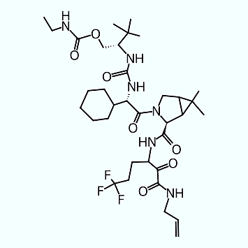 C=CCNC(=O)C(=O)C(CCC(F)(F)F)NC(=O)[C@@H]1C2C(CN1C(=O)[C@@H](NC(=O)N[C@H](COC(=O)NCC)C(C)(C)C)C1CCCCC1)C2(C)C